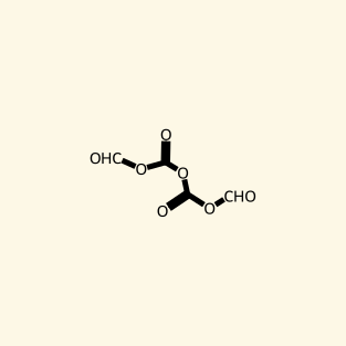 O=COC(=O)OC(=O)OC=O